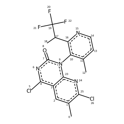 Cc1cc2c(Cl)nc(=O)n(-c3c(C)ccnc3C(C)C(F)(F)F)c2nc1Cl